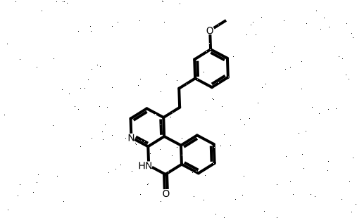 COc1cccc(CCc2ccnc3[nH]c(=O)c4ccccc4c23)c1